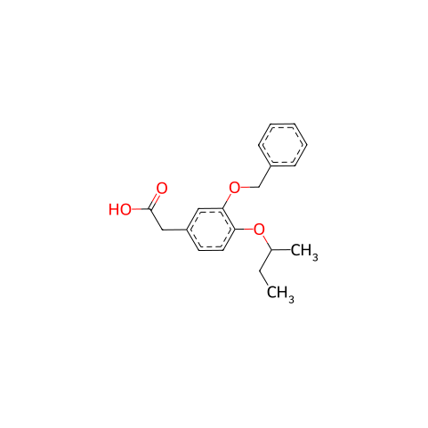 CCC(C)Oc1ccc(CC(=O)O)cc1OCc1ccccc1